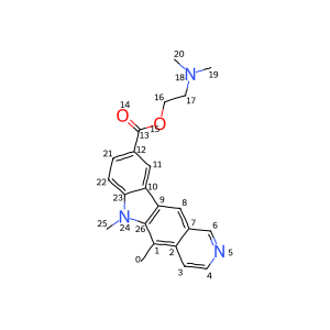 Cc1c2ccncc2cc2c3cc(C(=O)OCCN(C)C)ccc3n(C)c12